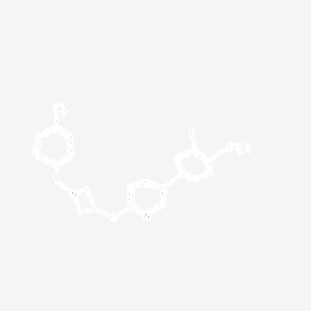 CCOC(=O)c1ccc(-c2ccc(OC3CN(Cc4ccc(C(F)(F)F)cc4)C3)nc2)cc1F